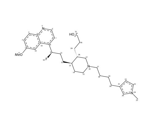 COc1ccc2nccc([C@H](F)CC[C@@H]3CCN(CCCCc4ccn(C)c4)C[C@H]3CCC(=O)O)c2c1